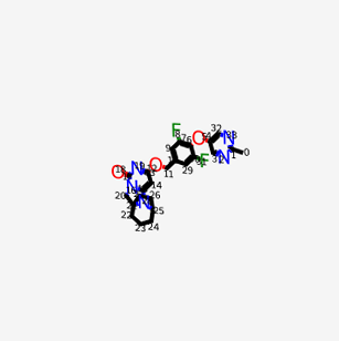 Cc1ncc(Oc2c(F)cc(COc3cc4n(c(=O)n3)CC35CCCC(CC3)N45)cc2F)cn1